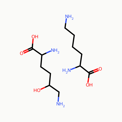 NCC(O)CCC(N)C(=O)O.NCCCCC(N)C(=O)O